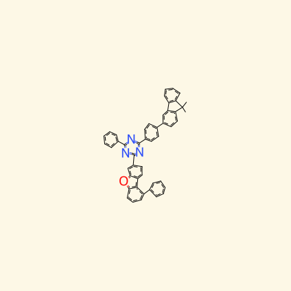 CC1(C)c2ccccc2-c2cc(-c3ccc(-c4nc(-c5ccccc5)nc(-c5ccc6c(c5)oc5cccc(-c7ccccc7)c56)n4)cc3)ccc21